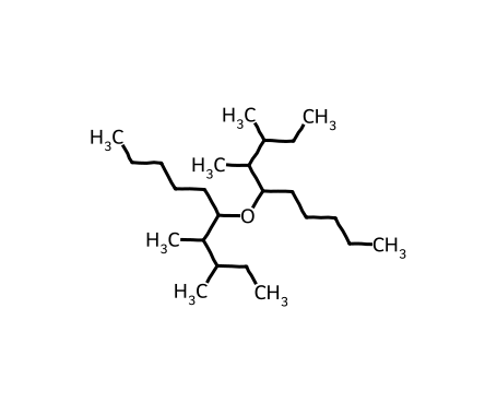 CCCCCC(OC(CCCCC)C(C)C(C)CC)C(C)C(C)CC